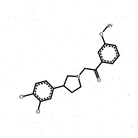 CC(C)Oc1cccc(C(=O)CN2CC[C](c3ccc(Cl)c(Cl)c3)C2)c1